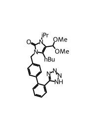 CCCCc1c(C(OC)OC)n(C(C)C)c(=O)n1Cc1ccc(-c2ccccc2-c2nnn[nH]2)cc1